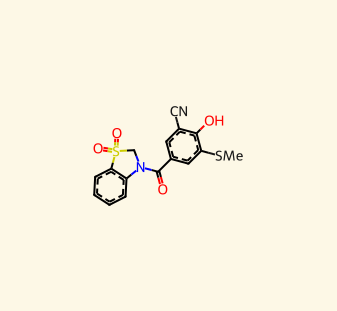 CSc1cc(C(=O)N2CS(=O)(=O)c3ccccc32)cc(C#N)c1O